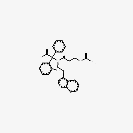 N=C(N)NCCC(=O)N(CCc1c[nH]c2ccccc12)C(C(N)=O)(c1ccccc1)c1ccccc1Br